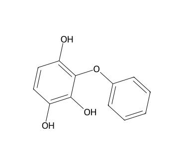 Oc1ccc(O)c(Oc2ccccc2)c1O